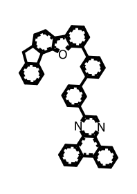 c1cc(-c2cccc(-c3cccc4c3oc3c5c(ccc34)Cc3ccccc3-5)c2)cc(-c2cnc3c4ccccc4c4ccccc4c3n2)c1